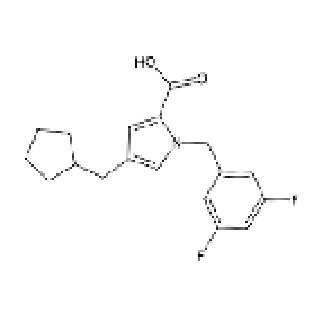 O=C(O)c1cc(CC2CCCC2)cn1Cc1cc(F)cc(F)c1